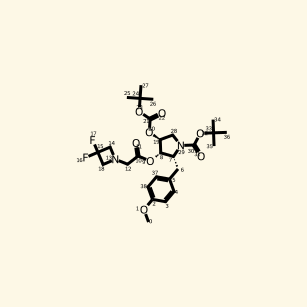 COc1ccc(C[C@@H]2[C@H](OC(=O)CN3CC(F)(F)C3)[C@@H](OC(=O)OC(C)(C)C)CN2C(=O)OC(C)(C)C)cc1